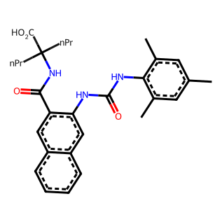 CCCC(CCC)(NC(=O)c1cc2ccccc2cc1NC(=O)Nc1c(C)cc(C)cc1C)C(=O)O